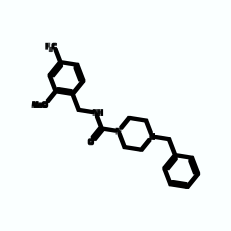 COc1cc(C(F)(F)F)ccc1CNC(=O)N1CCN(Cc2ccccc2)CC1